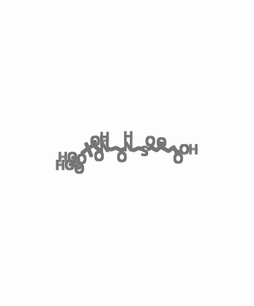 CC(C)(COP(=O)(O)O)C(O)C(=O)NCCC(=O)NCCSC(=O)CC(=O)CCC(=O)O